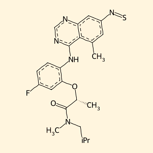 Cc1cc(N=S)cc2ncnc(Nc3ccc(F)cc3O[C@H](C)C(=O)N(C)CC(C)C)c12